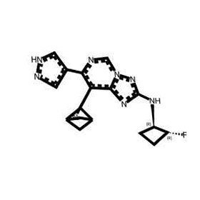 F[C@@H]1CC[C@H]1Nc1nc2c(N3CC4CC3C4)c(-c3cn[nH]c3)ncn2n1